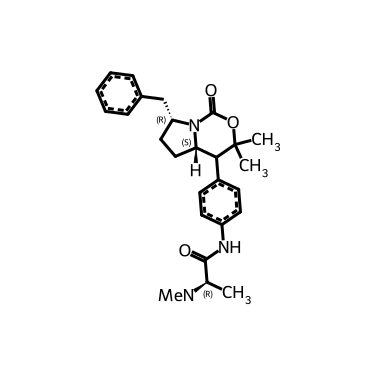 CN[C@H](C)C(=O)Nc1ccc(C2[C@@H]3CC[C@H](Cc4ccccc4)N3C(=O)OC2(C)C)cc1